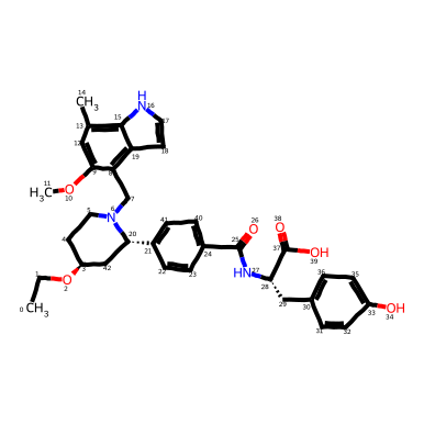 CCO[C@H]1CCN(Cc2c(OC)cc(C)c3[nH]ccc23)[C@H](c2ccc(C(=O)N[C@@H](Cc3ccc(O)cc3)C(=O)O)cc2)C1